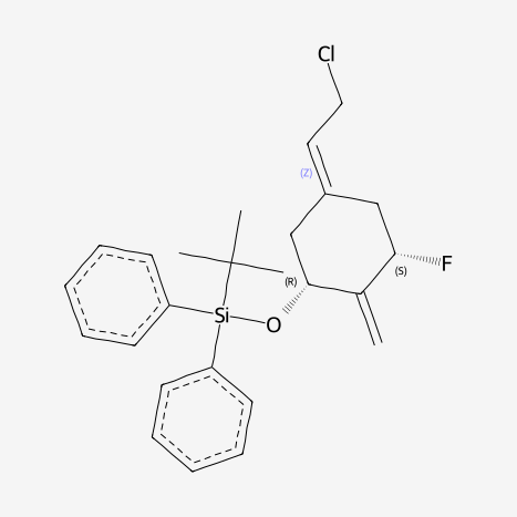 C=C1[C@@H](F)C/C(=C\CCl)C[C@H]1O[Si](c1ccccc1)(c1ccccc1)C(C)(C)C